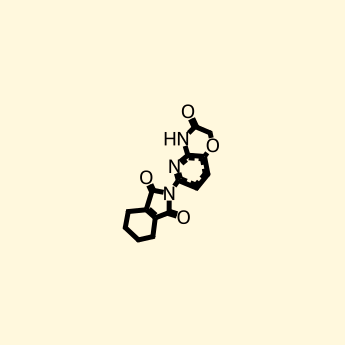 O=C1COc2ccc(N3C(=O)C4=C(CCCC4)C3=O)nc2N1